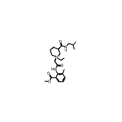 CC[N+]1(CC(=O)Nc2c(C)cccc2C(=O)OC)CCCC(C(=O)NCC(C)C)C1